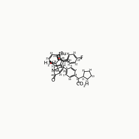 CC(C)(C)OC(=O)N(c1ccc(C(C(=O)O)C2CCCC2)cc1)C1(c2ccccc2)c2cc(C(=O)c3ccc(F)cc3)c(N)n1c2=O